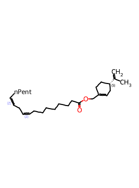 C=C(C)[C@@H]1CC=C(COC(=O)CCCCCCC/C=C\C/C=C\CCCCC)CC1